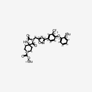 CC(C)(C)OC(=O)N1CCC2(CC1)NC(=O)N(Cc1nc(-c3ccc(Oc4ccccc4C(C)(C)C)c(C(F)(F)F)c3)no1)C2=O